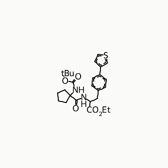 CCOC(=O)C(Cc1ccc(-c2ccsc2)cc1)NC(=O)C1(NC(=O)OC(C)(C)C)CCCC1